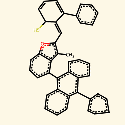 Cc1c(/C=C2/C(c3ccccc3)=CC=CC2S)oc2cccc(-c3c4ccccc4c(-c4ccccc4)c4ccccc34)c12